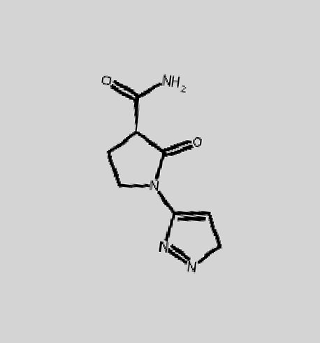 NC(=O)[C@@H]1CCN(C2=CCN=N2)C1=O